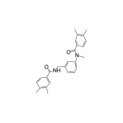 Cc1ccc(C(=O)NCc2cccc(N(C)C(=O)c3ccc(C)c(C)c3)c2)cc1C